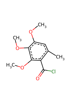 COc1cc(C)c(C(=O)Cl)c(OC)c1OC